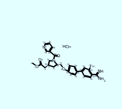 COC(=O)C[C@@H]1C[C@@H](COc2ccc(-c3ccc(C(=N)N)c(F)c3)cc2)N(C(=O)c2cccnc2)C1.Cl